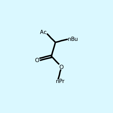 CCCCC(C(C)=O)C(=O)OCCC